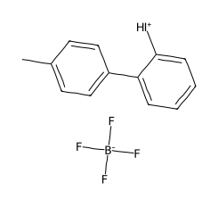 Cc1ccc(-c2ccccc2[IH+])cc1.F[B-](F)(F)F